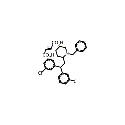 Clc1cccc(C(CC2CCCCN2Cc2ccccc2)c2cccc(Cl)c2)c1.O=C(O)/C=C/C(=O)O